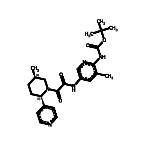 Cc1cc(NC(=O)C(=O)N2C[C@H](C)CC[C@H]2c2ccncc2)cnc1NC(=O)OC(C)(C)C